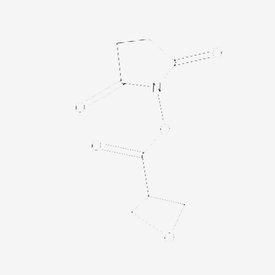 O=C(ON1C(=O)CCC1=O)C1COC1